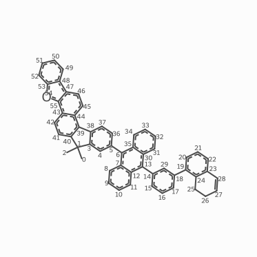 CC1(C)c2cc(-c3c4ccccc4c(-c4cccc(-c5cccc6c5CCC=C6)c4)c4ccccc34)ccc2-c2c1ccc1c2ccc2c3ccccc3oc12